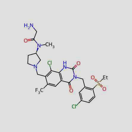 CCS(=O)(=O)c1ccc(Cl)cc1Cn1c(=O)[nH]c2c(Cl)c(CN3CC[C@@H](N(C)C(=O)CN)C3)c(C(F)(F)F)cc2c1=O